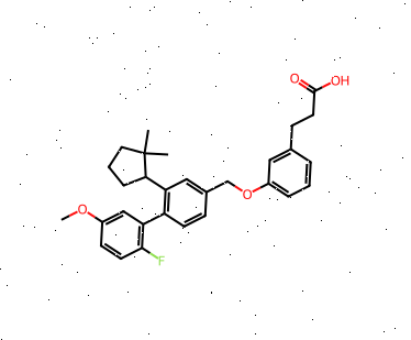 COc1ccc(F)c(-c2ccc(COc3cccc(CCC(=O)O)c3)cc2C2CCCC2(C)C)c1